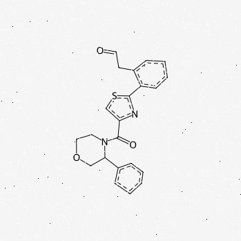 O=CCc1ccccc1-c1nc(C(=O)N2CCOCC2c2ccccc2)cs1